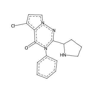 O=c1c2c(Cl)ccn2nc(C2CCCN2)n1-c1ccccc1